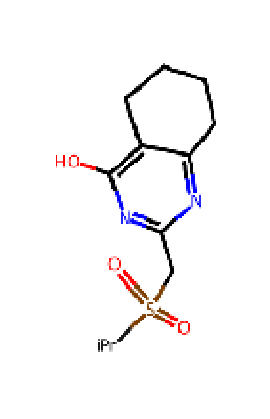 CC(C)S(=O)(=O)Cc1nc(O)c2c(n1)CCCC2